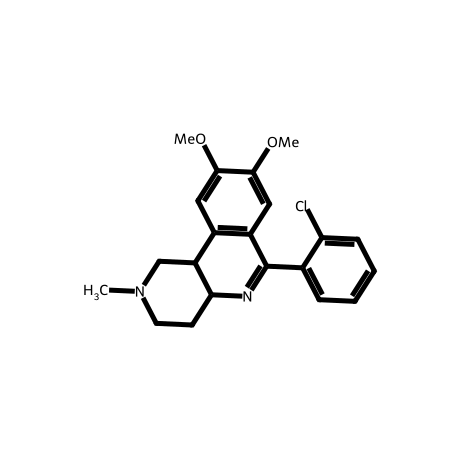 COc1cc2c(cc1OC)C1CN(C)CCC1N=C2c1ccccc1Cl